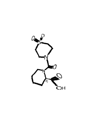 O=C(O)[C@H]1CCCCN1C(=O)N1CCS(=O)(=O)CC1